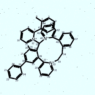 Cc1ccccc1-c1cccc[n+]1C1c2c(C)cc(-c3ccccc3)cc2-c2cccc[n+]2CCc2ccccc2-c2cccc[n+]21